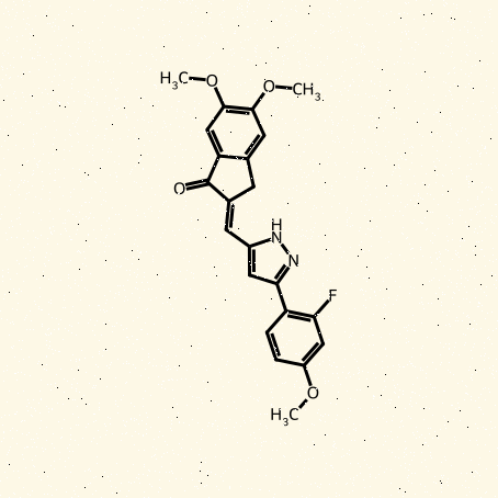 COc1ccc(-c2cc(/C=C3\Cc4cc(OC)c(OC)cc4C3=O)[nH]n2)c(F)c1